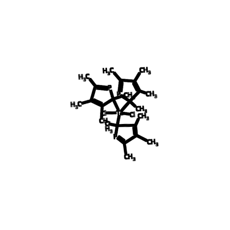 CC1=P[C](C)([Ta]([Cl])([Cl])([C]2(C)P=C(C)C(C)=C2C)[C]2(C)P=C(C)C(C)=C2C)C(C)=C1C